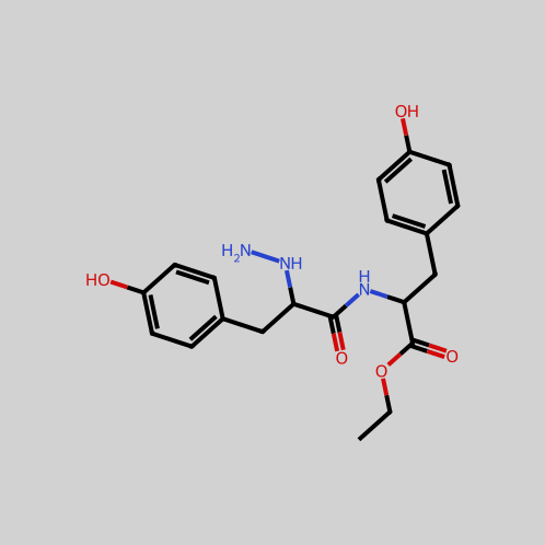 CCOC(=O)C(Cc1ccc(O)cc1)NC(=O)C(Cc1ccc(O)cc1)NN